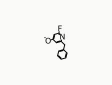 COc1cc(F)nc(Cc2ccccc2)c1